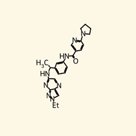 CCn1cc2ncc(N[C@@H](C)c3cccc(NC(=O)c4ccc(N5CCCC5)nc4)c3)nc2n1